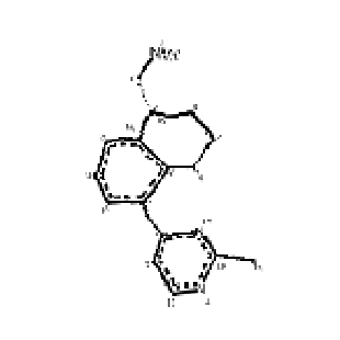 CNC[C@@H]1CCOc2c(-c3ccnc(C)n3)cccc21